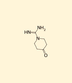 N=C(N)N1CCC(=O)CC1